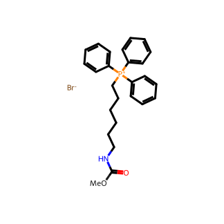 COC(=O)NCCCCCC[P+](c1ccccc1)(c1ccccc1)c1ccccc1.[Br-]